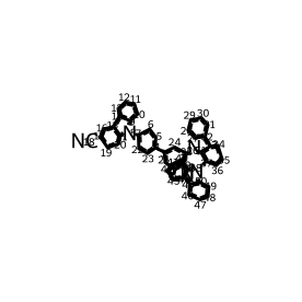 N#Cc1cc(-c2ccc(-n3c4ccccc4c4cc(C#N)ccc43)cc2)cc(-n2c3ccccc3c3cccc(-n4c5ccccc5c5ccccc54)c32)c1